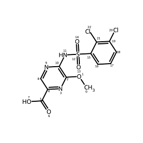 COc1nc(C(=O)O)cnc1NS(=O)(=O)c1cccc(Cl)c1Cl